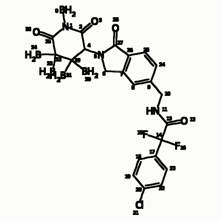 BN1C(=O)C(N2Cc3cc(CNC(=O)C(F)(F)c4ccc(Cl)cc4)ccc3C2=O)C(B)(B)C(B)(B)C1=O